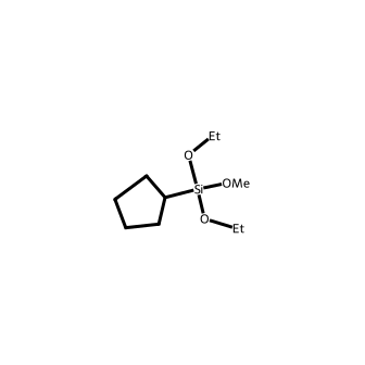 CCO[Si](OC)(OCC)C1CCCC1